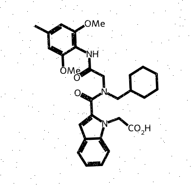 COc1cc(C)cc(OC)c1NC(=O)CN(CC1CCCCC1)C(=O)c1cc2ccccc2n1CC(=O)O